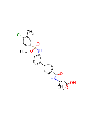 Cc1cc(S(=O)(=O)Nc2cccc(-c3ccc(C(=O)NC(C)CC(=O)O)cc3)c2)c(C)cc1Cl